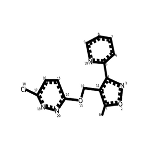 Cc1onc(-c2ccccn2)c1COc1ccc(Cl)nn1